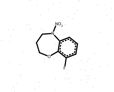 O=[N+]([O-])N1CCCOc2c(F)cccc21